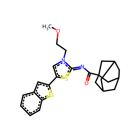 COCCn1cc(-c2cc3ccccc3s2)sc1=NC(=O)C12CC3CC(CC(C3)C1)C2